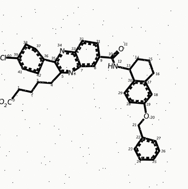 O=C(O)CCCCc1nc2cc(C(=O)NC3CCCc4cc(OCc5ccccc5)ccc43)ccc2nc1-c1ccc(Cl)cc1